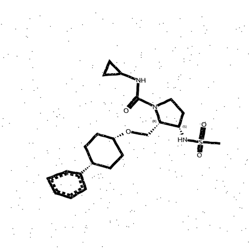 CS(=O)(=O)N[C@H]1CCN(C(=O)NC2CC2)[C@H]1CO[C@H]1CC[C@@H](c2ccccc2)CC1